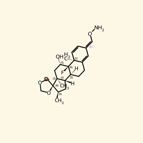 C[C@@H]1C[C@H]2[C@@H]3CCC4=C/C(=C/ON)C=C[C@]4(C)[C@@]3(F)[C@@H](O)C[C@]2(C)[C@]12OCOC21COCO1